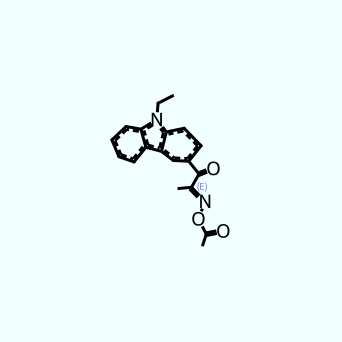 CCn1c2ccccc2c2cc(C(=O)/C(C)=N/OC(C)=O)ccc21